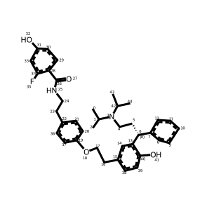 CC(C)N(CC[C@H](c1ccccc1)c1cc(CCOc2ccc(CCNC(=O)c3ccc(O)cc3F)cc2)ccc1O)C(C)C